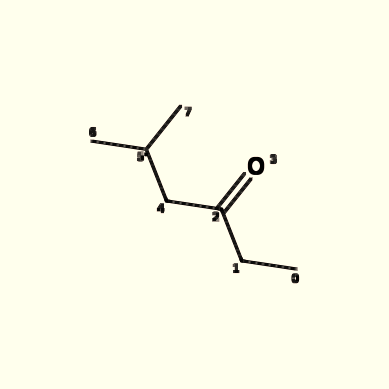 CCC(=O)C[C](C)C